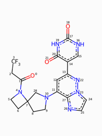 O=C(CC(F)(F)F)N1CCC12CCN(c1cc(-c3c[nH]c(=O)[nH]c3=O)nn3ccnc13)C2